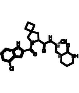 N#C[C@H](C[C@@H]1CCCNC1=O)NC(=O)C1CC2(CCC2)CN1C(=O)c1cc2c(Cl)cccc2[nH]1